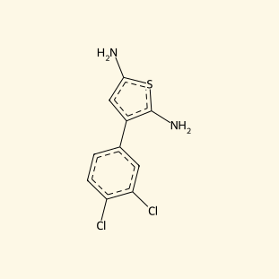 Nc1cc(-c2ccc(Cl)c(Cl)c2)c(N)s1